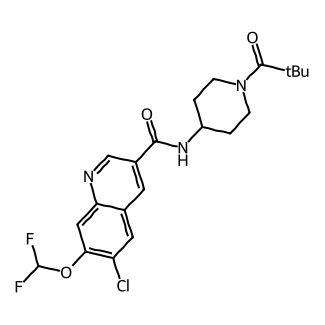 CC(C)(C)C(=O)N1CCC(NC(=O)c2cnc3cc(OC(F)F)c(Cl)cc3c2)CC1